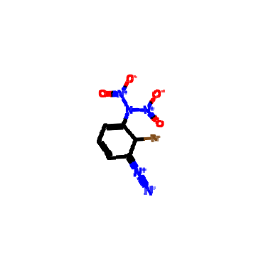 [N-]=[N+]=C1C=CC=C(N([N+](=O)[O-])[N+](=O)[O-])C1Br